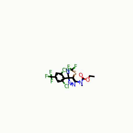 CCOC(=O)N(C)C1=C(SC(F)(F)F)C(C#N)(c2c(Cl)cc(C(F)(F)F)cc2Cl)N=N1